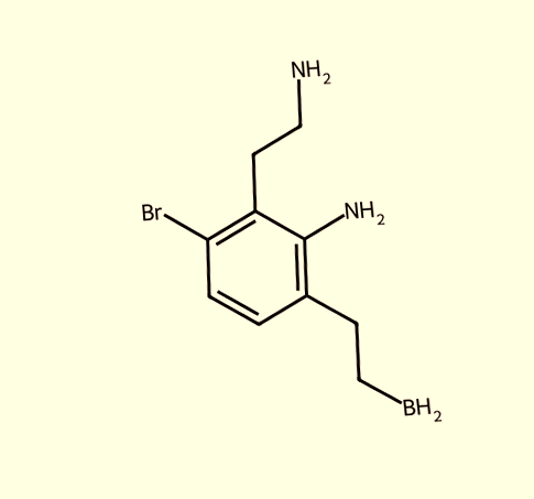 BCCc1ccc(Br)c(CCN)c1N